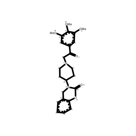 COc1cc(C(=O)CN2CCC(N3Cc4ccccc4OC3=O)CC2)cc(OC)c1OC